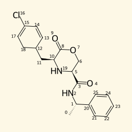 C[C@H](NC(=O)[C@@H]1COC(=O)[C@H](CC2C=CC(Cl)=CC2)N1)c1ccccc1